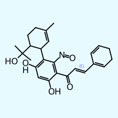 CC1=CC(c2c(O)cc(O)c(C(=O)/C=C/C3=CCCC=C3)c2N=O)C(C(C)(C)O)CC1